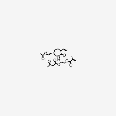 C=C(C)C(=O)OCCOC(=O)CC(C)=O.C=CC1CCCCNC1=O.C=COC(C)=O